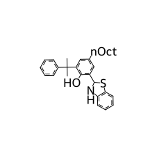 CCCCCCCCc1cc(C2Nc3ccccc3S2)c(O)c(C(C)(C)c2ccccc2)c1